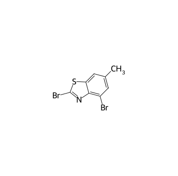 Cc1cc(Br)c2nc(Br)sc2c1